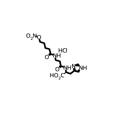 Cl.O=C(CCCCO[N+](=O)[O-])NCCC(=O)N[C@@H](Cc1c[nH]cn1)C(=O)O